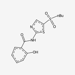 CCCCS(=O)(=O)c1cnc(NC(=O)c2ccccc2O)s1